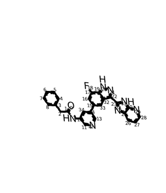 O=C(Cc1ccccc1)Nc1cncc(-c2cc(F)c3[nH]nc(-c4nc5cccnc5[nH]4)c3c2)c1